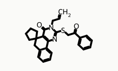 C=CCn1c(SCC(=O)c2ccccc2)nc2c(c1=O)C1(CCCC1)Cc1ccccc1-2